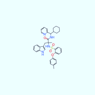 Cc1ccc(Oc2ccccc2S(=O)(=O)NC(C)(Cc2c[nH]c3ccccc23)C(=O)NC(c2ccccn2)C2CCCCC2)cc1